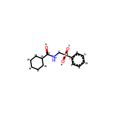 O=C(NCS(=O)(=O)c1ccccc1)C1CCCCC1